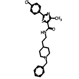 Cc1nc(-c2ccc(Cl)cc2)sc1C(=O)NCCC1CCN(Cc2ccccc2)CC1